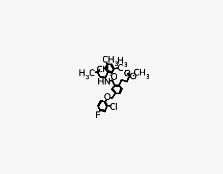 COC(=O)CCc1ccc(COc2ccc(F)cc2Cl)cc1C(=O)NC(CC(C)C)c1cc(C)cc(C)c1